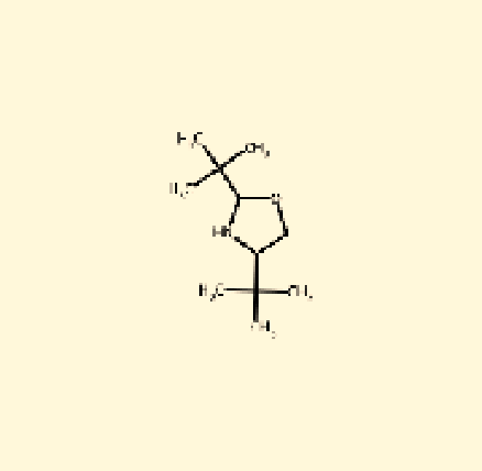 CC(C)(C)C1COC(C(C)(C)C)N1